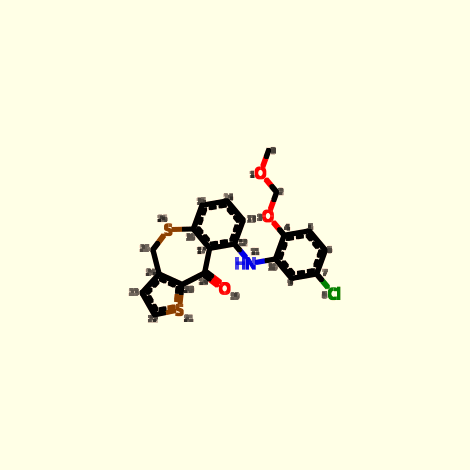 COCOc1ccc(Cl)cc1Nc1cccc2c1C(=O)c1sccc1CS2